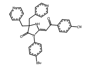 CC(C)(C)c1ccc(N2C(=O)C(Cc3ccncc3)(Cc3ccncc3)NC2=CC(=O)c2ccc(C#N)cc2)cc1